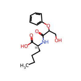 CCCC[C@H](NC(=O)C(CO)Oc1ccccc1)C(=O)O